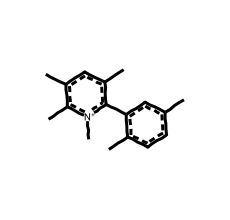 Cc1ccc(C)c(-c2c(C)cc(C)c(C)[n+]2C)c1